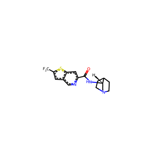 O=C(N[C@H]1CN2CCC1CC2)c1cc2sc(C(F)(F)F)cc2cn1